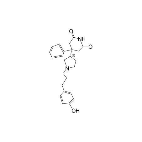 O=C1CC(c2ccccc2)([C@@H]2CCN(CCCc3ccc(O)cc3)C2)CC(=O)N1